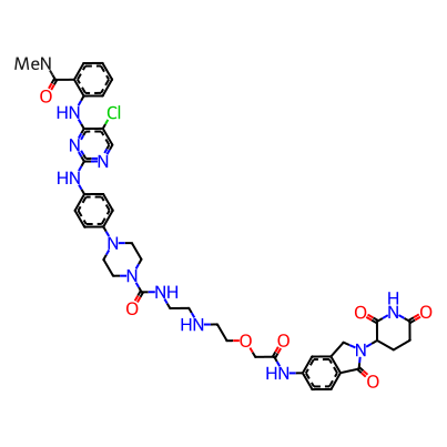 CNC(=O)c1ccccc1Nc1nc(Nc2ccc(N3CCN(C(=O)NCCNCCOCC(=O)Nc4ccc5c(c4)CN(C4CCC(=O)NC4=O)C5=O)CC3)cc2)ncc1Cl